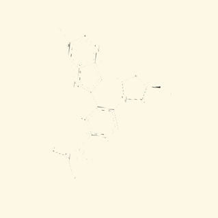 Cc1cnc2cc(-c3cc(S(=O)(=O)N(C)C)ccc3N3CC[C@@H](O)C3)[nH]c2c1